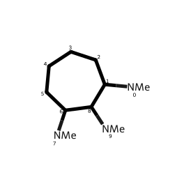 CNC1CCCCC(NC)C1NC